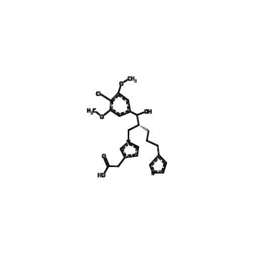 COc1cc(C(O)[C@H](CCCc2ccsc2)Cn2ccc(CC(=O)O)c2)cc(OC)c1Cl